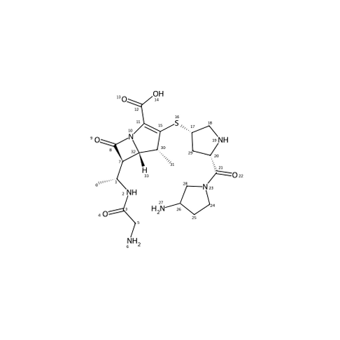 C[C@@H](NC(=O)CN)[C@H]1C(=O)N2C(C(=O)O)=C(S[C@@H]3CN[C@H](C(=O)N4CCC(N)C4)C3)[C@H](C)[C@H]12